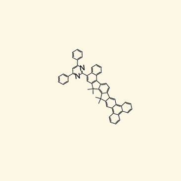 CC1(C)c2cc3c4ccccc4c4ccccc4c3cc2-c2ccc3c(c21)C(C)(C)c1cc(-c2nc(-c4ccccc4)cc(-c4ccccc4)n2)c2ccccc2c1-3